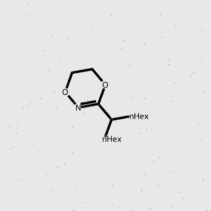 CCCCCCC(CCCCCC)C1=NOCCO1